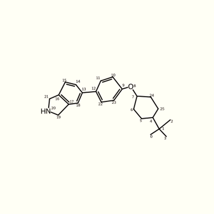 CC(C)(C)C1CCC(Oc2ccc(-c3ccc4c(c3)CNC4)cc2)CC1